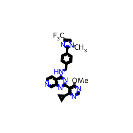 COc1ncnc(C2CC2)c1-c1nc(NCc2ccc(-c3nc(C(F)(F)F)cn3C)cc2)c2ccncc2n1